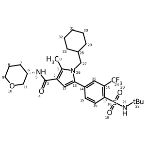 Cc1c(C(=O)N[C@H]2CCCOC2)cc(-c2ccc(S(=O)(=O)NC(C)(C)C)c(C(F)(F)F)c2)n1CC1CCCCC1